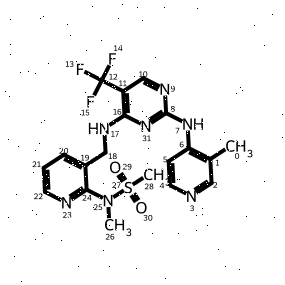 Cc1cnccc1Nc1ncc(C(F)(F)F)c(NCc2cccnc2N(C)S(C)(=O)=O)n1